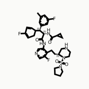 Cc1cc(F)cc([C@H](C2C=CC(F)=CC2)[C@H](NC(=O)C2CC2)C(=O)Nc2cncc(F)c2CC[C@H]2CNCCN2S(=O)(=O)N2CCCC2)c1